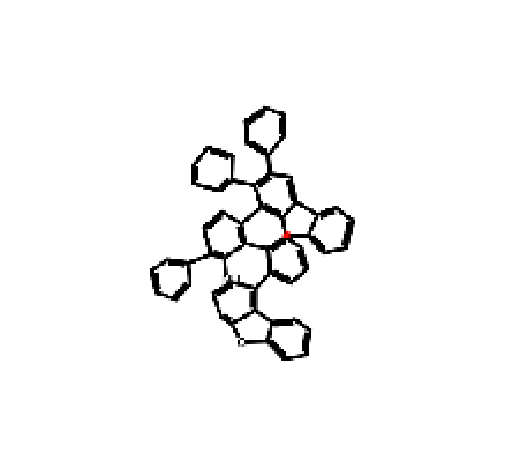 Nc1c(-c2ccccc2)ccc(-c2c3c(cc(-c4ccccc4)c2-c2ccccc2)-c2ccccc2C3)c1-c1ccccc1-c1cccc2oc3ccccc3c12